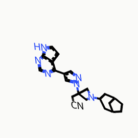 N#CCC1(n2cc(-c3ncnc4[nH]ccc34)cn2)CN(C2CC3CCC(C3)C2)C1